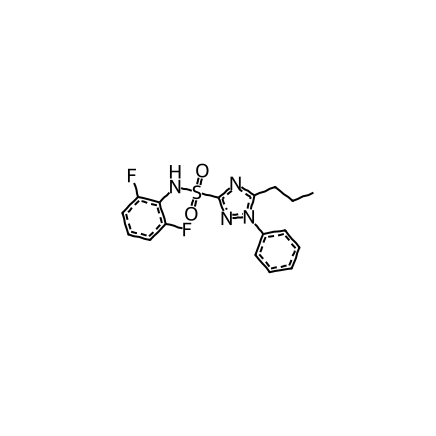 CCCc1nc(S(=O)(=O)Nc2c(F)cccc2F)nn1-c1ccccc1